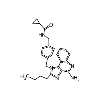 CCCCc1nc2c(N)nc3ccccc3c2n1Cc1ccc(CNC(=O)C2CC2)cc1